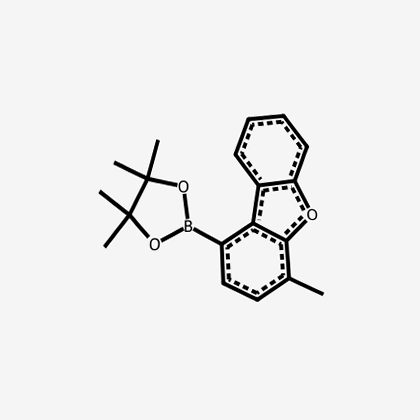 Cc1ccc(B2OC(C)(C)C(C)(C)O2)c2c1oc1ccccc12